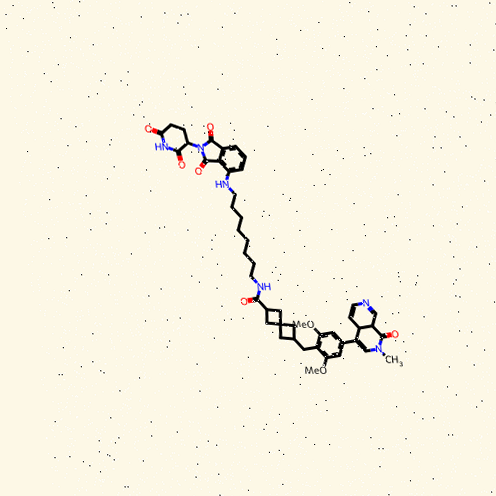 COc1cc(C2=CN(C)C(=O)C3C=NC=CC23)cc(OC)c1CC1CC2(C1)CC(C(=O)NCCCCCCCCNc1cccc3c1C(=O)N(C1CCC(=O)NC1=O)C3=O)C2